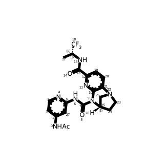 CC(=O)Nc1ccnc(NC(=O)N2c3nc(C(=O)N[C@H](C)C(F)(F)F)ccc3N3CC[C@H]2C3)c1